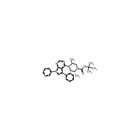 C[C@@H]1CN(c2ncnc3c2c(-c2ccccc2)cn3-c2cccnc2)[C@@H](C)CN1C(=O)OC(C)(C)C